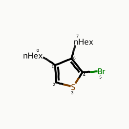 CCCCCCc1csc(Br)c1CCCCCC